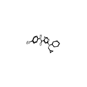 CCc1ccc(NC(=O)c2cc(N(CC3CC3)C3CCCCC3)ncn2)cc1